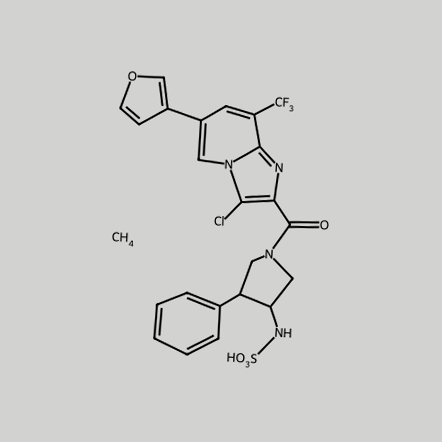 C.O=C(c1nc2c(C(F)(F)F)cc(-c3ccoc3)cn2c1Cl)N1CC(NS(=O)(=O)O)C(c2ccccc2)C1